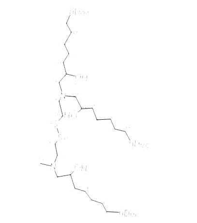 CCCCCCCCCCCCCCCC(O)CN(C)CCSSCCN(CC(O)CCCCCCCCCCCCCCC)CC(O)CCCCCCCCCCCCCCC